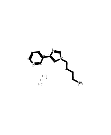 Cl.Cl.Cl.NCCCCn1cnc(-c2cccnc2)c1